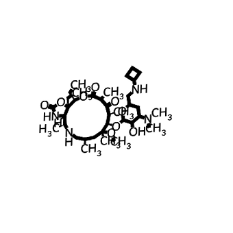 CC[C@H]1OC(=O)C(C)C(=O)[C@H](C)[C@@H](OC2OC(CNC3CCC3)CC(N(C)C)C2O)[C@](C)(OC)C[C@@H](C)CN[C@H](C)[C@H]2NC(=O)O[C@@]21CC